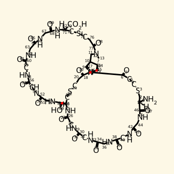 N[C@H]1CSCCC(=O)N2CC34CN5C[C@]3(CN(C4)C(=O)CCSC[C@H](NC(=O)CNC(=O)CNC(=O)CNC(=O)CNC(=O)CNC1=O)C(O)NCC(=O)NCC(=O)NCC(=O)NCC(=O)NCC(=O)N[C@H](C(=O)O)CSCCC5=O)C2